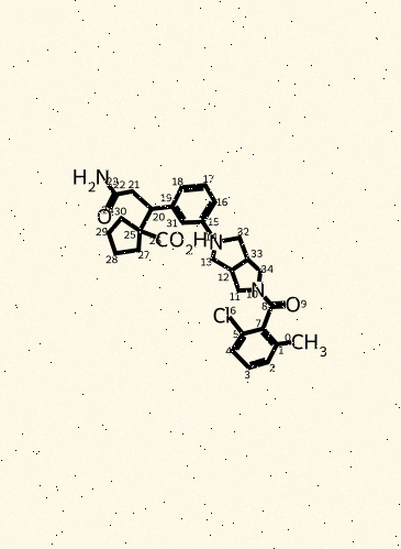 Cc1cccc(Cl)c1C(=O)N1CC2CN(c3cccc(C(CC(N)=O)C4(C(=O)O)CCCC4)c3)CC2C1